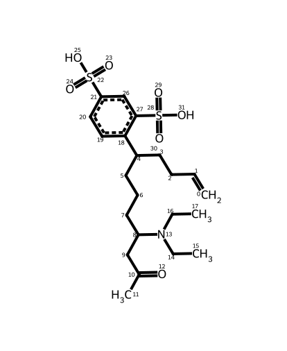 C=CCCC(CCCC(CC(C)=O)N(CC)CC)c1ccc(S(=O)(=O)O)cc1S(=O)(=O)O